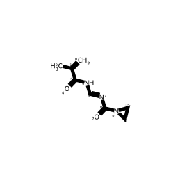 C=C(C)C(=O)NC=NC(=O)N1CC1